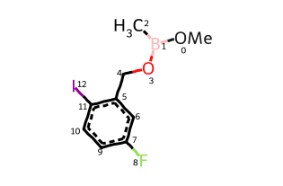 COB(C)OCc1cc(F)ccc1I